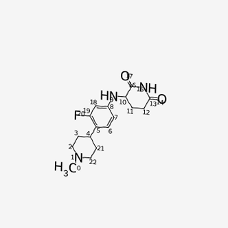 CN1CCC(c2ccc(NC3CCC(=O)NC3=O)cc2F)CC1